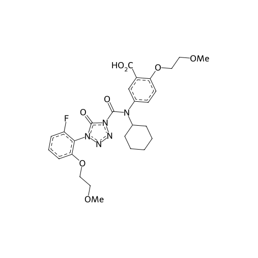 COCCOc1ccc(N(C(=O)n2nnn(-c3c(F)cccc3OCCOC)c2=O)C2CCCCC2)cc1C(=O)O